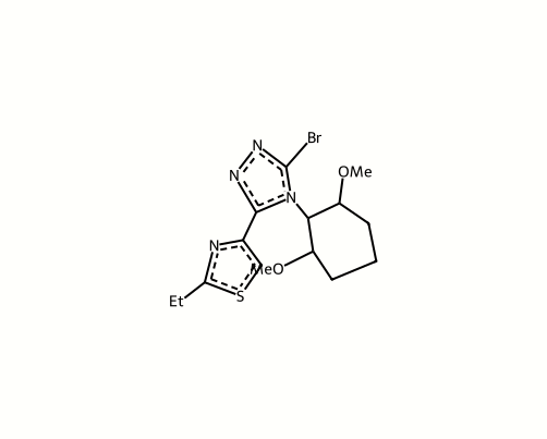 CCc1nc(-c2nnc(Br)n2C2C(OC)CCCC2OC)cs1